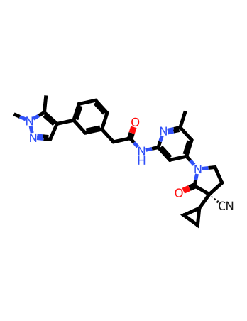 Cc1cc(N2CC[C@@](C#N)(C3CC3)C2=O)cc(NC(=O)Cc2cccc(-c3cnn(C)c3C)c2)n1